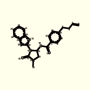 C=CCCc1ccc(C(=O)OC2CN(C)C(=O)N2c2nc3ccccc3s2)cc1